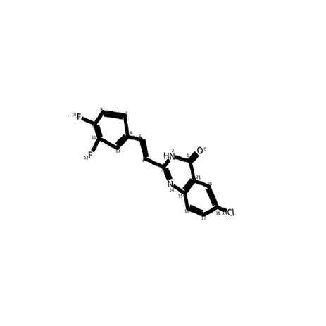 O=c1[nH]c(C=Cc2ccc(F)c(F)c2)nc2ccc(Cl)cc12